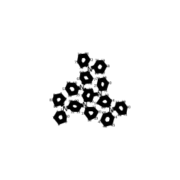 c1ccc(N(c2ccccc2)c2ccc(N(c3ccccc3)c3cc(N(c4ccccc4)c4ccc(N(c5ccccc5)c5ccccc5)cc4)cc(N(c4ccccc4)c4ccc(N(c5ccccc5)c5ccccc5)cc4)c3)cc2)cc1